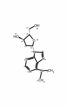 CN(C)c1ncnc2c1ncn2[C@@H]1C[C@@H](O)[C@H](CO)O1